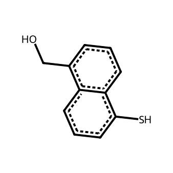 OCc1cccc2c(S)cccc12